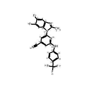 Cc1nc2cc(F)c(F)cc2n1-c1cc(C#N)cc(Nc2ccc(C(F)(F)F)cc2)n1